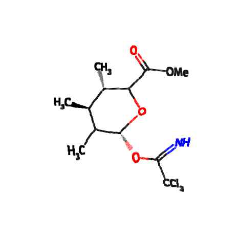 COC(=O)C1O[C@H](OC(=N)C(Cl)(Cl)Cl)C(C)[C@@H](C)[C@@H]1C